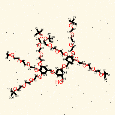 CC(C)OCCOCCOCCOc1c(OCCOCCOCCOC(C)(C)C)cc(COc2cc(CO)cc(OCc3cc(OCCOCCOCCOC(C)(C)C)c(OCCOCCOCCOC(C)(C)C)c(OCCOCCOCCOC(C)(C)C)c3)c2)cc1OCCOCCOCCOC(C)(C)C